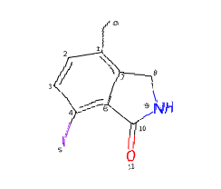 Cc1ccc(I)c2c1CNC2=O